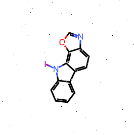 In1c2ccccc2c2ccc3ncoc3c21